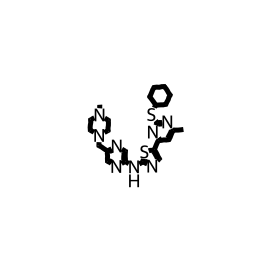 Cc1cc(-c2cnc(Nc3cnc(CN4CCN(C)CC4)cn3)s2)nc(SC2CCCCC2)n1